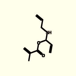 C=CCNC(C=C)OC(=O)C(=C)C